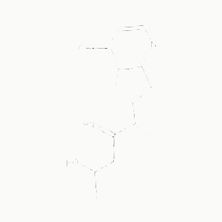 CC(O)CC(=N)C(=O)c1cc2nccc(Cl)c2s1